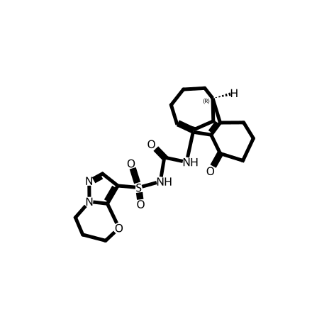 O=C(NC1=C2CCC[C@H](CC2)C2=C1C(=O)CCC2)NS(=O)(=O)c1cnn2c1OCCC2